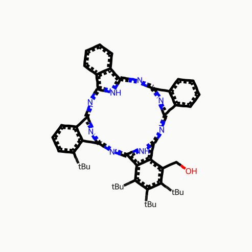 CC(C)(C)c1cccc2c1-c1nc-2nc2[nH]c(nc3nc(nc4[nH]c(n1)c1c(C(C)(C)C)c(C(C)(C)C)c(C(C)(C)C)c(CO)c41)-c1ccccc1-3)c1ccccc21